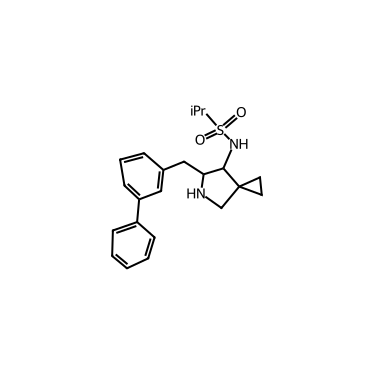 CC(C)S(=O)(=O)NC1C(Cc2cccc(-c3ccccc3)c2)NCC12CC2